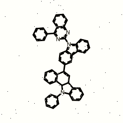 C1=C(c2ccc3c(c2)c2ccccc2n3-c2nc(-c3ccccc3)c3ccccc3n2)c2ccccc2C2C1c1ccccc1N2c1ccccc1